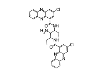 CCC(NC(=O)c1cc(Cl)cc2nc3ccccc3nc12)C(N)C(CC)NC(=O)c1cc(Cl)cc2nc3ccccc3nc12